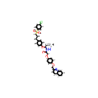 O=C(COc1ccc(OCc2ccc3ccccc3n2)cc1)NC(Oc1ccc(CCCS(=O)(=O)c2ccc(Cl)cc2)cc1)C(=O)O